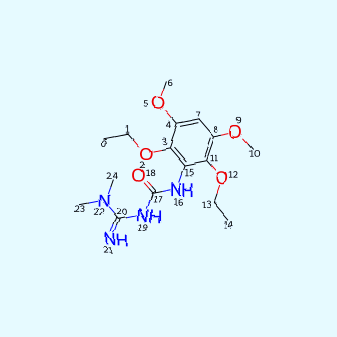 CCOc1c(OC)cc(OC)c(OCC)c1NC(=O)NC(=N)N(C)C